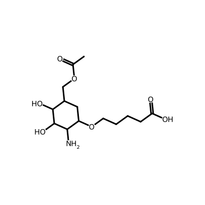 CC(=O)OCC1CC(OCCCCC(=O)O)C(N)C(O)C1O